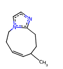 CC1C=CCCn2ccnc2CC1